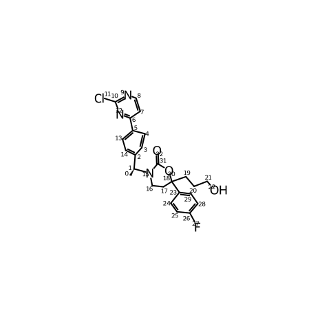 C[C@@H](c1ccc(-c2ccnc(Cl)n2)cc1)N1CCC(CCCO)(c2ccc(F)cc2)OC1=O